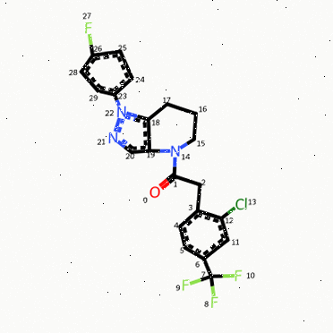 O=C(Cc1ccc(C(F)(F)F)cc1Cl)N1CCCc2c1cnn2-c1ccc(F)cc1